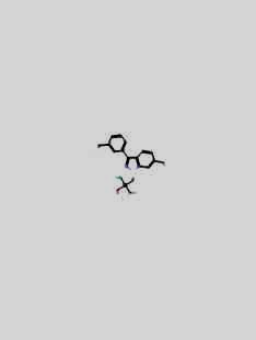 C=C(N)c1cccc(-c2cn(CC(CO)(C(F)F)C(F)F)c3cc(CO)ccc23)c1